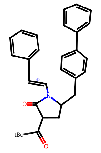 CC(C)(C)C(=O)C1CC(Cc2ccc(-c3ccccc3)cc2)N(/C=C/c2ccccc2)C1=O